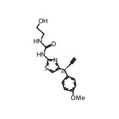 C#C[C@@H](c1ccc(OC)cc1)c1csc(NC(=O)NCCO)n1